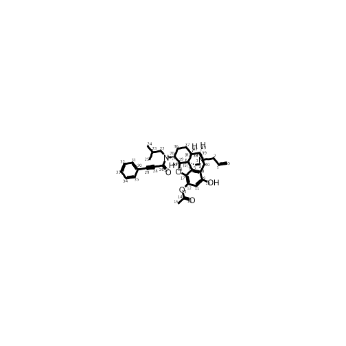 C=CCN1CC[C@]23c4c5c(O)cc(OC(C)=O)c4O[C@H]2[C@@H](N(CC(C)C)C(=O)C#Cc2ccccc2)CC[C@H]3[C@H]1C5